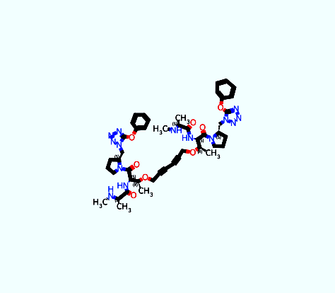 CN[C@@H](C)C(=O)N[C@H](C(=O)N1CCC[C@H]1Cn1nnnc1Oc1ccccc1)[C@@H](C)OCC#CC#CCO[C@H](C)[C@H](NC(=O)[C@H](C)NC)C(=O)N1CCC[C@H]1Cn1nnnc1Oc1ccccc1